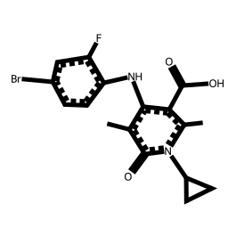 Cc1c(Nc2ccc(Br)cc2F)c(C(=O)O)c(C)n(C2CC2)c1=O